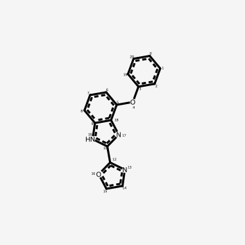 c1ccc(Oc2cccc3[nH]c(-c4ncco4)nc23)cc1